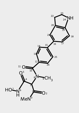 CNC(=O)C(C(=O)NO)N(C)C(=O)c1ccc(-c2ccc3c(c2)CCN3)cc1